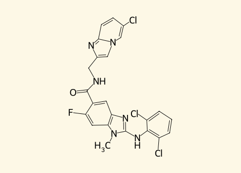 Cn1c(Nc2c(Cl)cccc2Cl)nc2cc(C(=O)NCc3cn4cc(Cl)ccc4n3)c(F)cc21